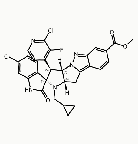 COC(=O)c1ccc2c3n(nc2c1)[C@@H]1[C@H](C3)N(CC2CC2)[C@@]2(C(=O)Nc3cc(Cl)ccc32)[C@H]1c1ccnc(Cl)c1F